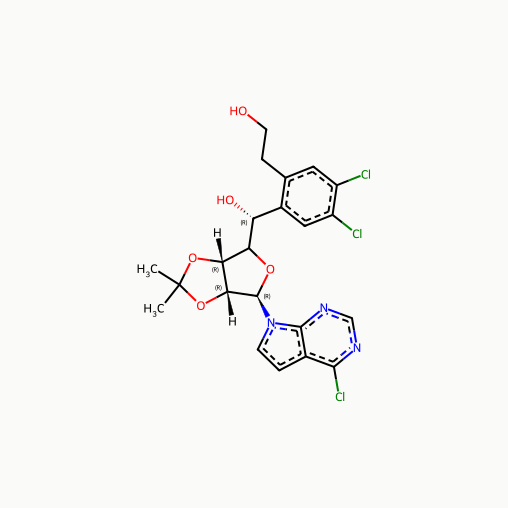 CC1(C)O[C@@H]2[C@H](O1)C([C@H](O)c1cc(Cl)c(Cl)cc1CCO)O[C@H]2n1ccc2c(Cl)ncnc21